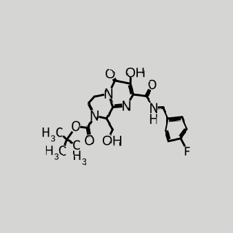 CC(C)(C)OC(=O)N1CCn2c(nc(C(=O)NCc3ccc(F)cc3)c(O)c2=O)C1CO